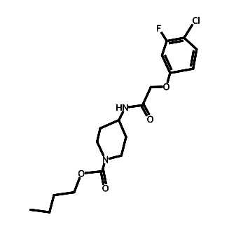 CCCCOC(=O)N1CCC(NC(=O)COc2ccc(Cl)c(F)c2)CC1